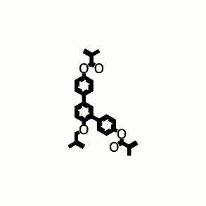 C=C(C)COc1ccc(-c2ccc(OC(=O)C(=C)C)cc2)cc1-c1ccc(OC(=O)C(=C)C)cc1